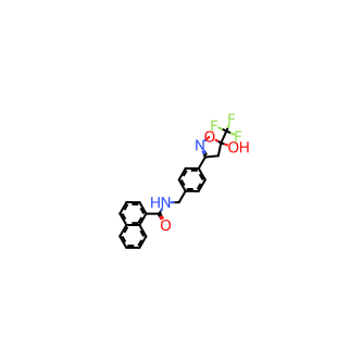 O=C(NCc1ccc(C2=NOC(O)(C(F)(F)F)C2)cc1)c1cccc2ccccc12